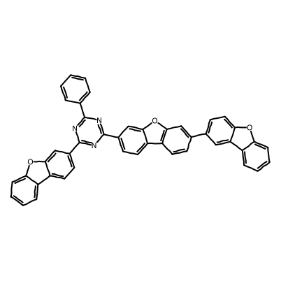 c1ccc(-c2nc(-c3ccc4c(c3)oc3ccccc34)nc(-c3ccc4c(c3)oc3cc(-c5ccc6oc7ccccc7c6c5)ccc34)n2)cc1